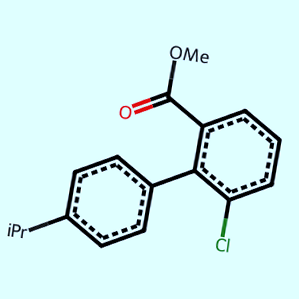 COC(=O)c1cccc(Cl)c1-c1ccc(C(C)C)cc1